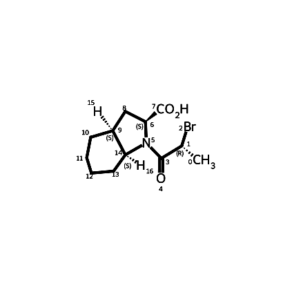 C[C@@H](Br)C(=O)N1[C@H](C(=O)O)C[C@@H]2CCCC[C@@H]21